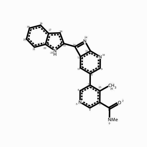 CNC(=O)c1cncc(-c2cnc3c(c2)C(c2cc4ccccc4[nH]2)=N3)c1C